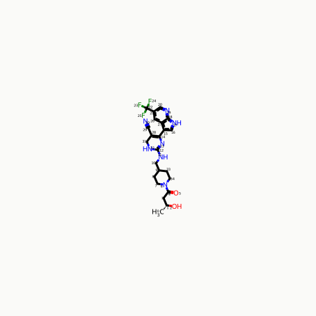 C[C@@H](O)CC(=O)N1CCC(CNC2=NC(c3c[nH]c4ncc(C(F)(F)F)cc34)=C(C#N)CN2)CC1